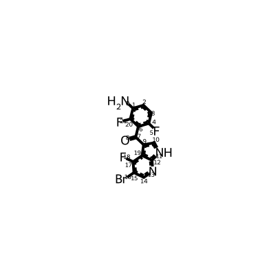 Nc1ccc(F)c(C(=O)c2c[nH]c3ncc(Br)c(F)c23)c1F